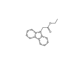 CCOC(=O)Cn1c2cc[c]cc2c2ccccc21